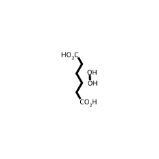 O=C(O)CCCCC(=O)O.OO